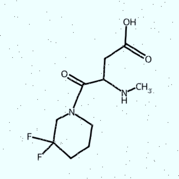 CNC(CC(=O)O)C(=O)N1CCCC(F)(F)C1